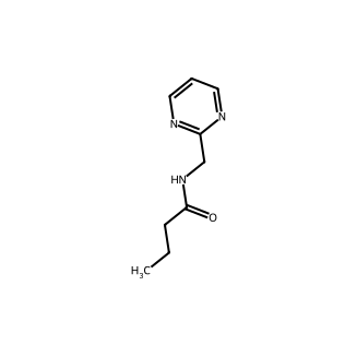 CCCC(=O)NCc1ncccn1